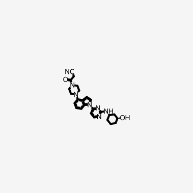 N#CCC(=O)N1CCN(c2cccc3c2ccn3-c2ccnc(N[C@H]3CCC[C@H](O)C3)n2)CC1